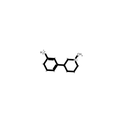 CC1=CC(C2CCCN(C)C2)=CCC1